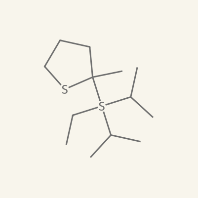 CCS(C(C)C)(C(C)C)C1(C)CCCS1